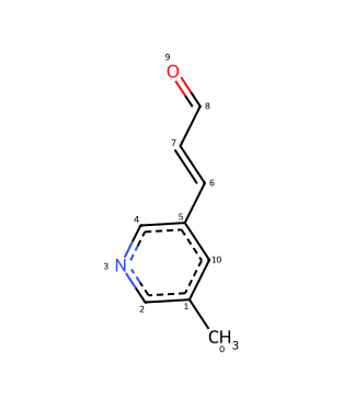 Cc1cncc(/C=C/C=O)c1